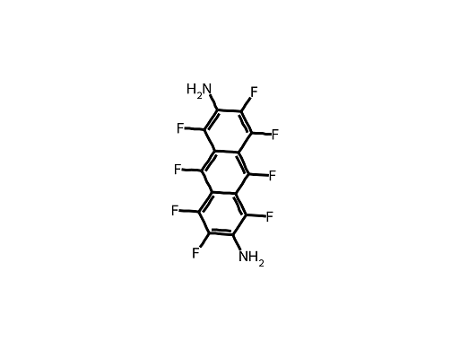 Nc1c(F)c(F)c2c(F)c3c(F)c(N)c(F)c(F)c3c(F)c2c1F